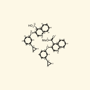 COC(=O)c1c(Oc2cccc(C3CC3)c2)cnc2ccccc12.O=C(O)c1c(Oc2cccc(C3CC3)c2)cnc2ccccc12